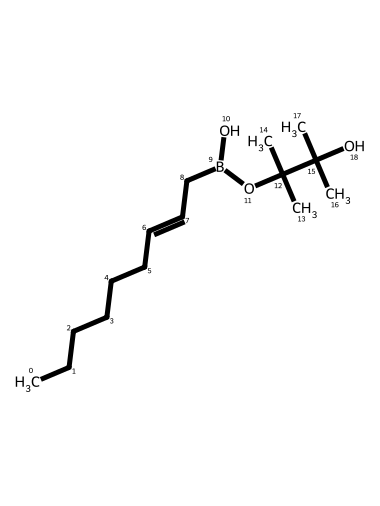 CCCCCC/C=C/CB(O)OC(C)(C)C(C)(C)O